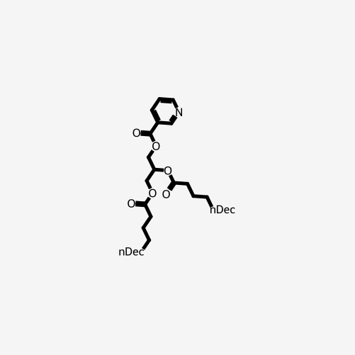 CCCCCCCCCCCCCC(=O)OCC(COC(=O)c1cccnc1)OC(=O)CCCCCCCCCCCCC